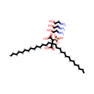 CCCCCCCCCCCCCCC(CCCCCCCCCCCCCC)(C(=O)O)C(C(=O)O)S(=O)(=O)O.NCCO.NCCO.NCCO